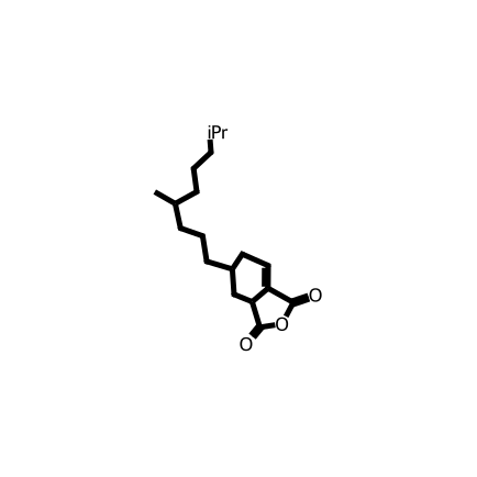 CC(C)CCCC(C)CCCC1CC=C2C(=O)OC(=O)C2C1